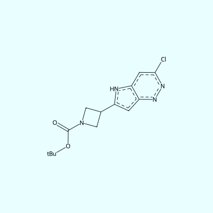 CC(C)(C)OC(=O)N1CC(c2cc3nnc(Cl)cc3[nH]2)C1